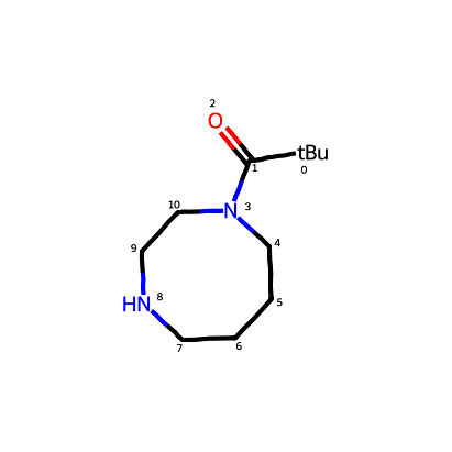 CC(C)(C)C(=O)N1CCCCNCC1